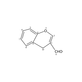 O=[C]C1=COc2ccccc2C1